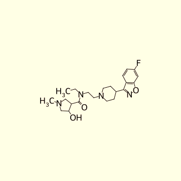 CCN(CCN1CCC(c2noc3cc(F)ccc23)CC1)C(=O)C1CN(C)CC1O